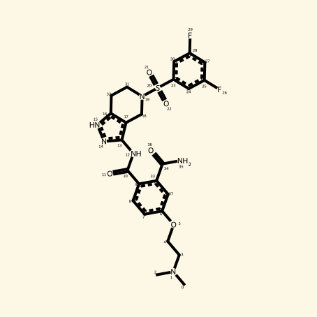 CN(C)CCOc1ccc(C(=O)Nc2n[nH]c3c2CN(S(=O)(=O)c2cc(F)cc(F)c2)CC3)c(C(N)=O)c1